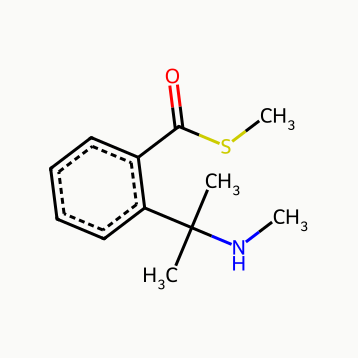 CNC(C)(C)c1ccccc1C(=O)SC